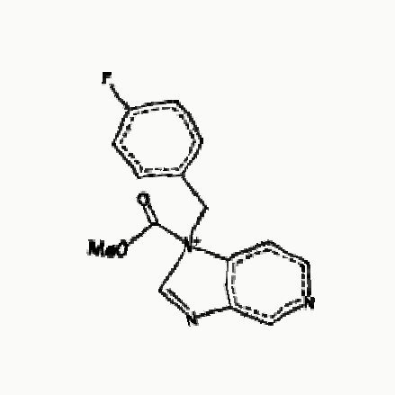 COC(=O)[N+]1(Cc2ccc(F)cc2)C=Nc2cnccc21